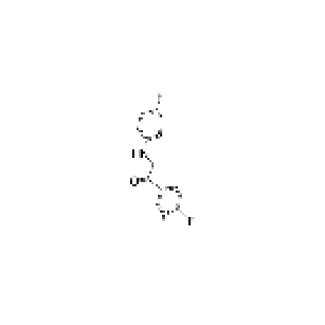 Cc1cc(C(=O)CNc2ccc(F)cc2)ccc1F